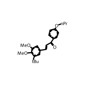 CCCOc1ccc(C(=O)C=Cc2cc(OC)c(OC)c(C(C)(C)C)c2)cc1